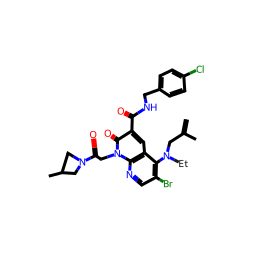 C=C(C)CN(CC)c1c(Br)cnc2c1cc(C(=O)NCc1ccc(Cl)cc1)c(=O)n2CC(=O)N1CC(C)C1